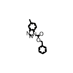 Cc1ccc2c(c1)nnn2C(=O)OCc1ccccc1